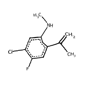 C=C(C)c1cc(F)c(Cl)cc1NC